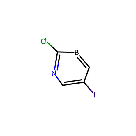 Clc1bcc(I)cn1